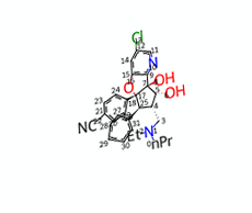 CCCN(CC)C[C@H]1[C@@H](O)[C@@]2(O)c3ncc(Cl)cc3O[C@@]2(c2ccc(C#N)cc2)[C@@H]1c1ccccc1